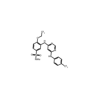 CNS(=O)(=O)c1ccc(OCC(F)(F)F)c(Nc2cc(Nc3ccc(C(F)(F)F)cc3)ncn2)c1